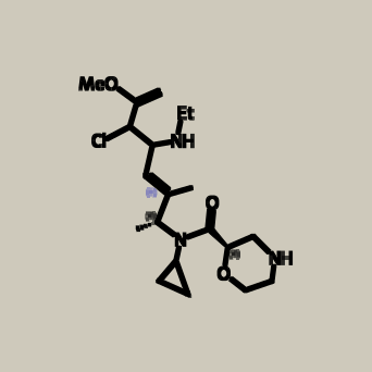 C=C(OC)C(Cl)C(/C=C(\C)[C@@H](C)N(C(=O)[C@H]1CNCCO1)C1CC1)NCC